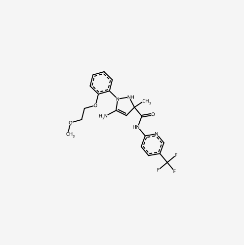 COCCOc1ccccc1N1NC(C)(C(=O)Nc2ccc(C(F)(F)F)cn2)C=C1N